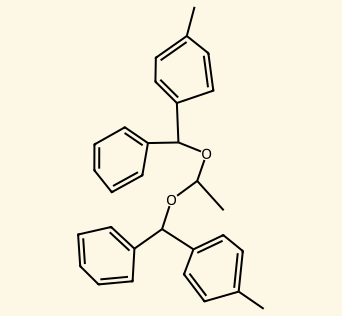 Cc1ccc(C(OC(C)OC(c2ccccc2)c2ccc(C)cc2)c2ccccc2)cc1